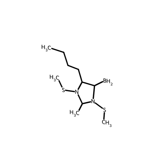 BC1C(CCCC)N(SC)C(C)N1SC